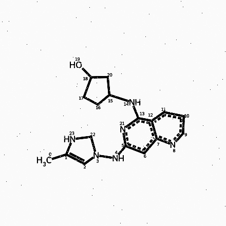 CC1=CN(Nc2cc3ncccc3c(NC3CCC(O)C3)n2)CN1